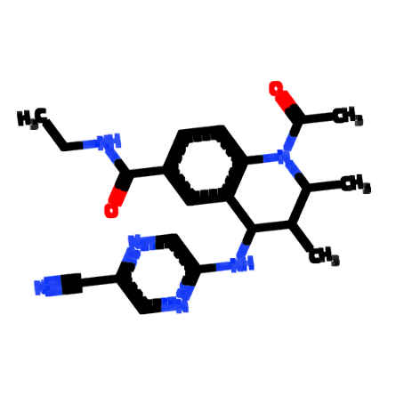 CCNC(=O)c1ccc2c(c1)C(Nc1cnc(C#N)cn1)C(C)C(C)N2C(C)=O